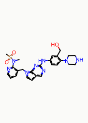 CN(c1ncccc1Cn1ccc2cnc(Nc3ccc(N4CCNCC4)c(CO)c3)nc21)S(C)(=O)=O